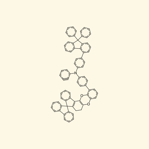 c1cccc(N(c2ccc(-c3cccc4c3OC3=C(CCC5=C3c3ccccc3C53c5ccccc5-c5ccccc53)O4)cc2)c2ccc(-c3cccc4c3-c3ccccc3C4(c3ccccc3)c3ccccc3)cc2)c#1